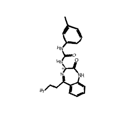 Cc1cccc(NC(=O)N[C@@H]2N=C(CCC(C)C)c3ccccc3NC2=O)c1